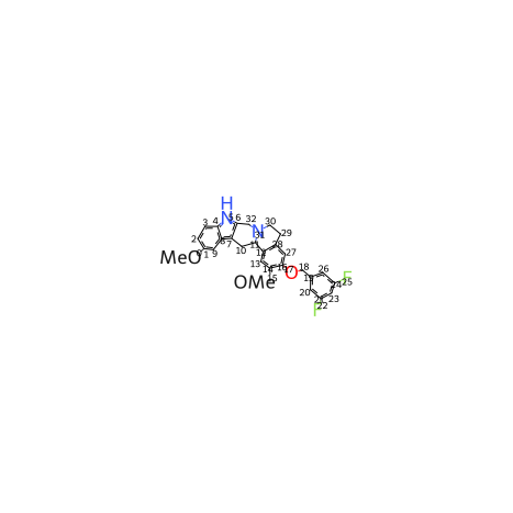 COc1ccc2[nH]c3c(c2c1)CC1c2cc(OC)c(OCc4cc(F)cc(F)c4)cc2CCN1C3